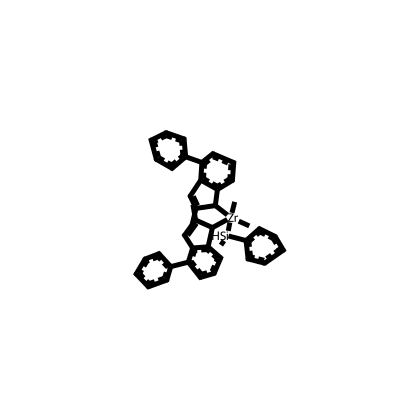 CC1=Cc2c(-c3ccccc3)cccc2[CH]1[Zr]([CH3])([CH3])([CH]1C(C)=Cc2c(-c3ccccc3)cccc21)[SiH](C)c1ccccc1